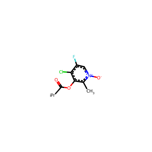 Cc1c(OC(=O)C(C)C)c(Cl)c(F)c[n+]1[O-]